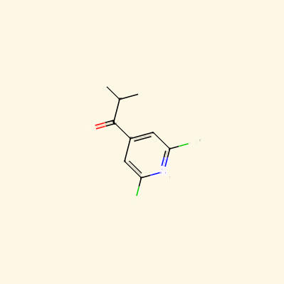 CC(C)C(=O)c1cc(Cl)nc(Cl)c1